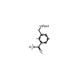 CCCCCCc1cccc(C(N)=O)c1